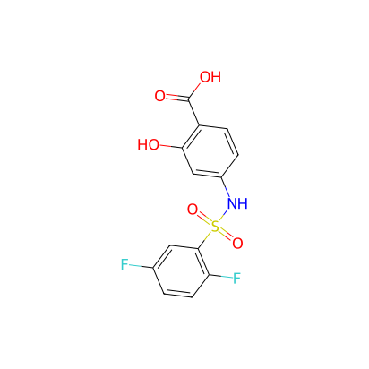 O=C(O)c1ccc(NS(=O)(=O)c2cc(F)ccc2F)cc1O